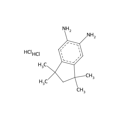 CC1(C)CC(C)(C)c2cc(N)c(N)cc21.Cl.Cl